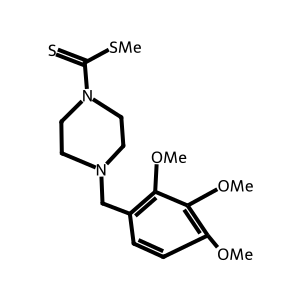 COc1ccc(CN2CCN(C(=S)SC)CC2)c(OC)c1OC